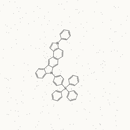 c1ccc(-n2ccc3c4cc5c6ccccc6n(-c6ccc([Si](c7ccccc7)(c7ccccc7)c7ccccc7)cc6)c5cc4ccc32)cc1